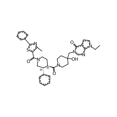 CCn1ccc2c(=O)n(CC3(O)CCN(C(=O)[C@@H]4CCN(C(=O)c5sc(-c6ccccc6)nc5C)C[C@H]4c4ccccc4)CC3)cnc21